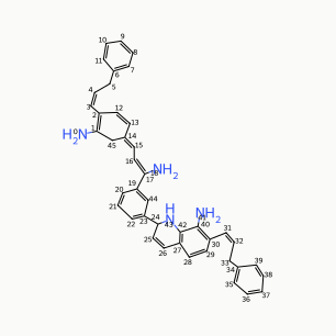 NC1=C(/C=C\Cc2ccccc2)C=C/C(=C/C=C(\N)c2cccc(C3C=Cc4ccc(/C=C\Cc5ccccc5)c(N)c4N3)c2)C1